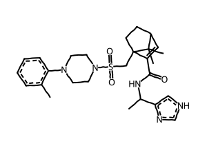 Cc1ccccc1N1CCN(S(=O)(=O)CC23CCC(C=C2C(=O)NC(C)c2c[nH]cn2)C3(C)C)CC1